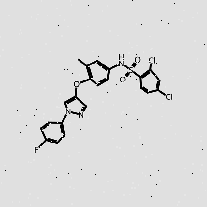 Cc1cc(NS(=O)(=O)c2ccc(Cl)cc2Cl)ccc1Oc1cnn(-c2ccc(F)cc2)c1